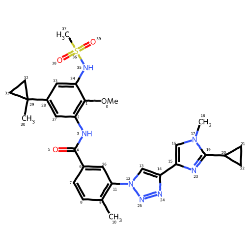 COc1c(NC(=O)c2ccc(C)c(-n3cc(-c4cn(C)c(C5CC5)n4)nn3)c2)cc(C2(C)CC2)cc1NS(C)(=O)=O